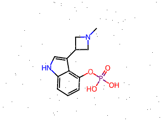 CN1CC(c2c[nH]c3cccc(OP(=O)(O)O)c23)C1